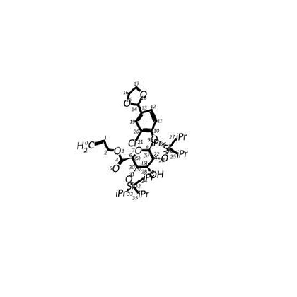 C=CCOC(=O)[C@H]1O[C@@H](Oc2ccc(C3OCCO3)cc2Cl)[C@H](O[Si](C(C)C)(C(C)C)C(C)C)[C@@H](O)[C@@H]1O[Si](C(C)C)(C(C)C)C(C)C